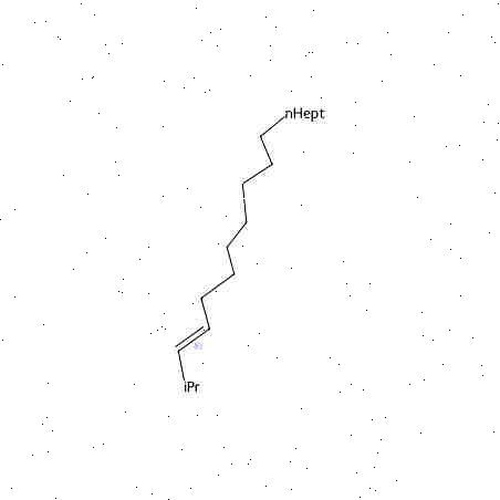 CCCCCCCCCCCCCC/C=C/C(C)C